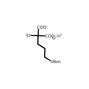 CCCCCCCCCCCCC(CC)(C(=O)[O-])C(=O)[O-].[Li+].[Li+]